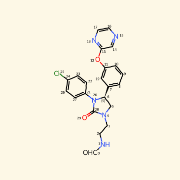 O=CNCCN1C[C@H](c2cccc(Oc3cnccn3)c2)N(c2ccc(Cl)cc2)C1=O